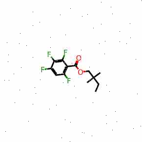 CCC(C)(C)COC(=O)c1c(F)cc(F)c(F)c1F